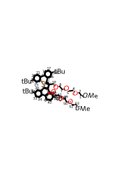 COCCOCCOCCOCc1c(-c2cc(C(C)(C)C)ccc2-c2ccc(C(C)(C)C)cc2)sc(-c2cc(C(C)(C)C)ccc2-c2ccc(C(C)(C)C)cc2)c1COCCOCCOCCOC